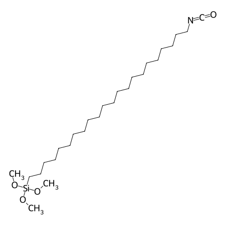 CO[Si](CCCCCCCCCCCCCCCCCCCCCCN=C=O)(OC)OC